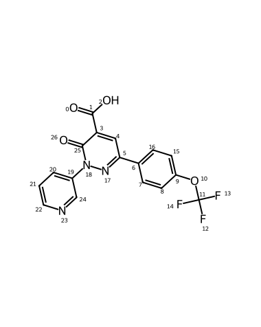 O=C(O)c1cc(-c2ccc(OC(F)(F)F)cc2)nn(-c2cccnc2)c1=O